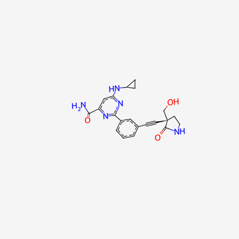 NC(=O)c1cc(NC2CC2)nc(-c2cccc(C#C[C@@]3(CO)CCNC3=O)c2)n1